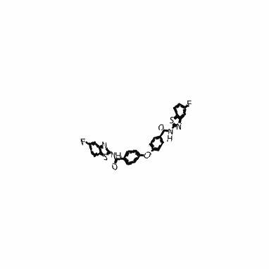 O=C(Nc1nc2cc(F)ccc2s1)c1ccc(Oc2ccc(C(=O)Nc3nc4cc(F)ccc4s3)cc2)cc1